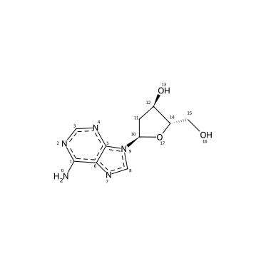 Nc1ncnc2c1ncn2[C@H]1C[C@@H](O)[C@H](CO)O1